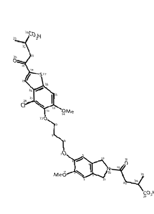 COc1cc2c(cc1OCCCOc1c(OC)cc3sc(C(=O)CC(C)C(=O)O)cc3c1Cl)CN(C(=O)CC(C)C(=O)O)C2